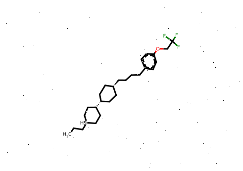 CCC[SiH]1CCC([C@H]2CC[C@H](CCCCc3ccc(OCC(F)(F)F)cc3)CC2)CC1